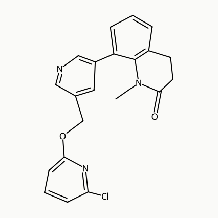 CN1C(=O)CCc2cccc(-c3cncc(COc4cccc(Cl)n4)c3)c21